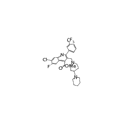 COC(=O)c1c(CN2CCC(N3CCCCC3)CC2)c(-c2cccc(C(F)(F)F)c2)nc2cc(Cl)c(F)cc12